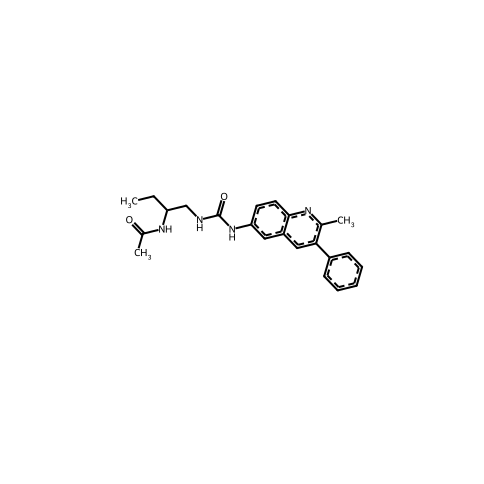 CCC(CNC(=O)Nc1ccc2nc(C)c(-c3ccccc3)cc2c1)NC(C)=O